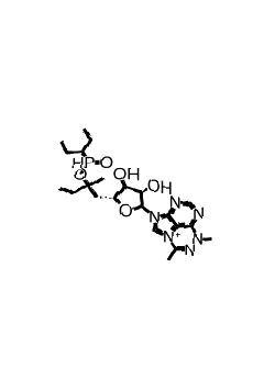 CCC(CC)[PH](=O)OC(C)(CC)C[C@H]1OC(n2c[n+]3c4c(ncnc42)N(C)N=C3C)[C@H](O)C1O